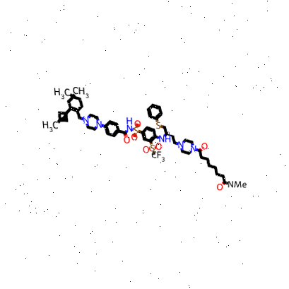 CNC(=O)CCCCCCC(=O)N1CCN(CC[C@H](CSc2ccccc2)Nc2ccc(S(=O)(=O)NC(=O)c3ccc(N4CCN(CC5=C(C67CC(C)(C6)C7)CC(C)(C)CC5)CC4)cc3)cc2S(=O)(=O)C(F)(F)F)CC1